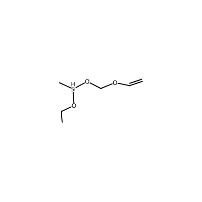 C=COCO[SiH](C)OCC